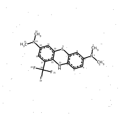 CN(C)c1ccc2c(c1)Sc1cc(N(C)C)cc(C(F)(F)F)c1N2